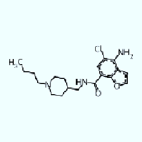 CCCCN1CCC(CNC(=O)c2cc(Cl)c(N)c3ccoc23)CC1